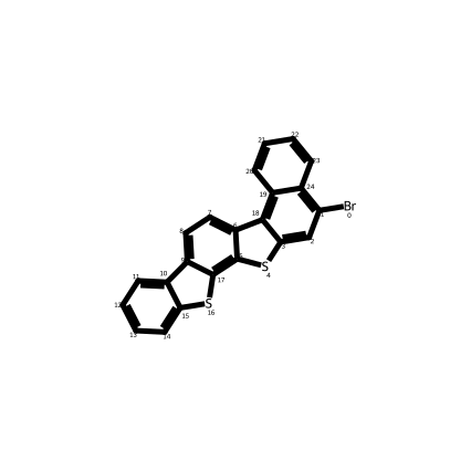 Brc1cc2sc3c(ccc4c5ccccc5sc43)c2c2ccccc12